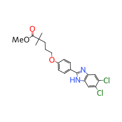 COC(=O)C(C)(C)CCCOc1ccc(-c2nc3cc(Cl)c(Cl)cc3[nH]2)cc1